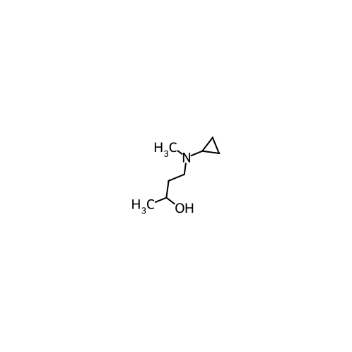 CC(O)CCN(C)C1CC1